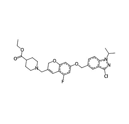 CCOC(=O)C1CCN(CC2=Cc3c(F)cc(OCc4ccc5c(c4)c(Cl)nn5C(C)C)cc3OC2)CC1